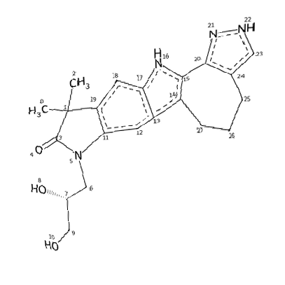 CC1(C)C(=O)N(C[C@@H](O)CO)c2cc3c4c([nH]c3cc21)-c1n[nH]cc1CCC4